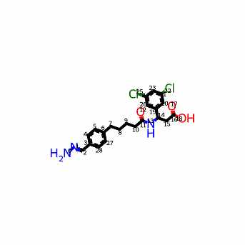 NN=Cc1ccc(CCCCC(=O)NC(CC(=O)O)c2cc(Cl)cc(Cl)c2)cc1